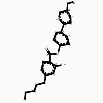 CCCCCc1ccc(C(=O)Oc2ccc(-c3ccc(CC)cn3)cc2)c(F)c1